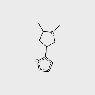 CC1C[C@H](c2ccco2)CN1C